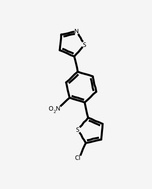 O=[N+]([O-])c1cc(-c2ccns2)ccc1-c1ccc(Cl)s1